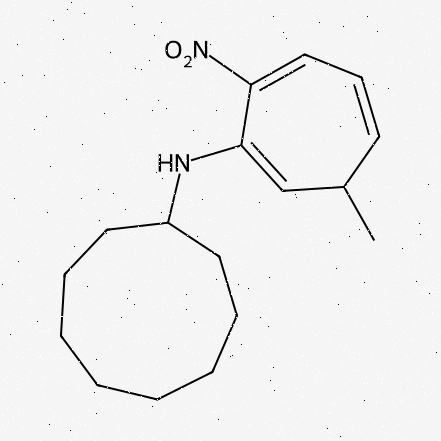 CC1C=CC=C([N+](=O)[O-])C(NC2CCCCCCCC2)=C1